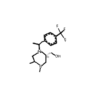 CC1CN(C(C)c2ccc(C(F)(F)F)cc2)[C@H](CO)CN1C